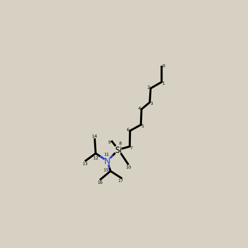 CCCCCCCC[Si](C)(C)N(C(C)C)C(C)C